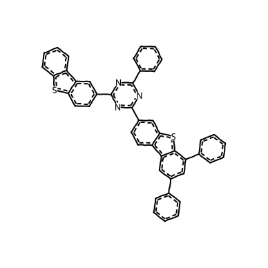 c1ccc(-c2cc(-c3ccccc3)c3sc4cc(-c5nc(-c6ccccc6)nc(-c6ccc7sc8ccccc8c7c6)n5)ccc4c3c2)cc1